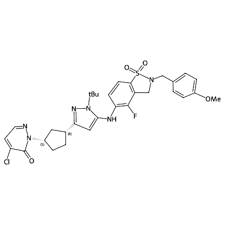 COc1ccc(CN2Cc3c(ccc(Nc4cc([C@@H]5CC[C@H](n6nccc(Cl)c6=O)C5)nn4C(C)(C)C)c3F)S2(=O)=O)cc1